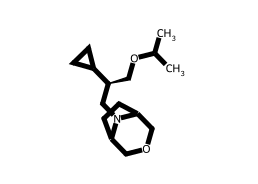 CC(C)OC[C@@H](CN1C2CCC1COC2)C1CC1